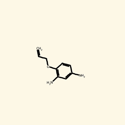 C=CCOc1ccc(N)cc1N